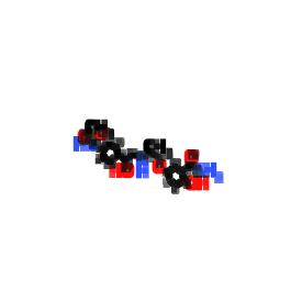 CC(COc1ccc(O)c(C(N)=O)c1)NCC(O)c1ccc(NS(C)(=O)=O)cc1